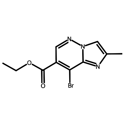 CCOC(=O)c1cnn2cc(C)nc2c1Br